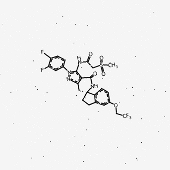 CS(=O)(=O)CC(=O)Nc1c2c(nn1-c1ccc(F)c(F)c1)C[C@]1(CCc3cc(OCC(F)(F)F)ccc31)NC2=O